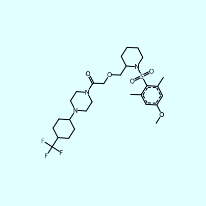 COc1cc(C)c(S(=O)(=O)N2CCCCC2COCC(=O)N2CCN(C3CCC(C(F)(F)F)CC3)CC2)c(C)c1